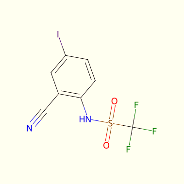 N#Cc1cc(I)ccc1NS(=O)(=O)C(F)(F)F